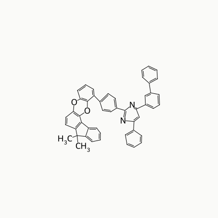 CC1(C)c2ccccc2-c2c1ccc1c2Oc2c(cccc2-c2ccc(-c3nc(-c4ccccc4)cc(-c4cccc(-c5ccccc5)c4)n3)cc2)O1